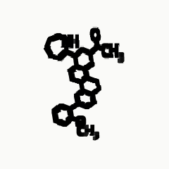 COc1ccccc1-c1ccc2c(c1)-c1ccc3c(c1=CC2)=CC(C(C)=O)CC3C1=CC=CC=CN1